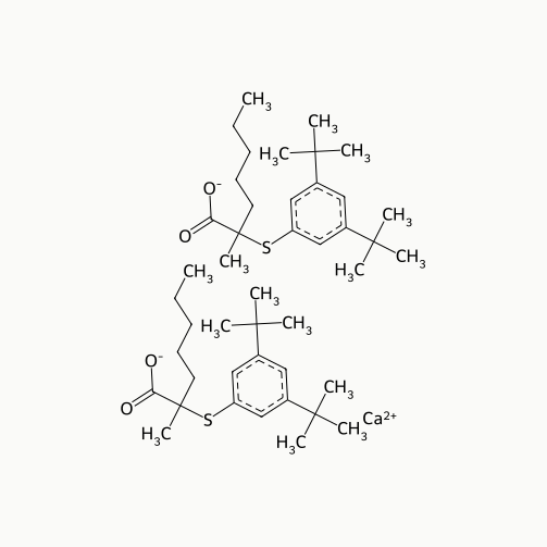 CCCCCC(C)(Sc1cc(C(C)(C)C)cc(C(C)(C)C)c1)C(=O)[O-].CCCCCC(C)(Sc1cc(C(C)(C)C)cc(C(C)(C)C)c1)C(=O)[O-].[Ca+2]